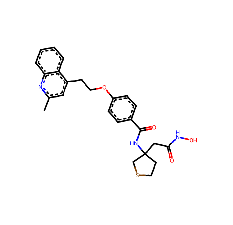 Cc1cc(CCOc2ccc(C(=O)NC3(CC(=O)NO)CCSC3)cc2)c2ccccc2n1